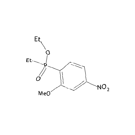 CCOP(=O)(CC)c1ccc([N+](=O)[O-])cc1OC